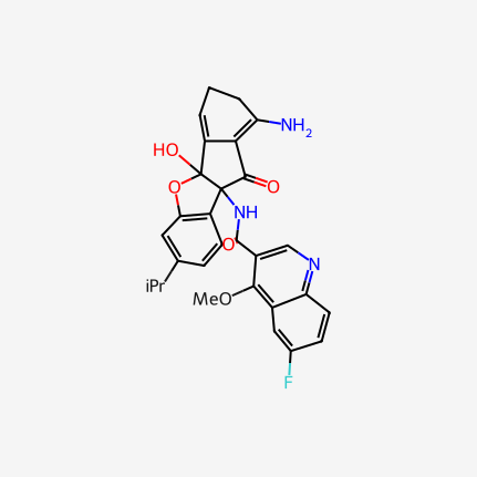 COc1c(C(=O)NC23C(=O)C4=C(N)CCC=C4C2(O)Oc2cc(C(C)C)ccc23)cnc2ccc(F)cc12